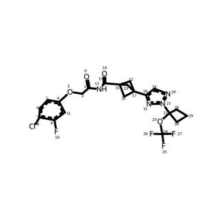 O=C(COc1ccc(Cl)c(F)c1)NC(=O)C12CC(c3cnn(C4(OC(F)(F)F)CCC4)n3)(C1)C2